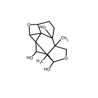 CC12COC3(O)C4OC5CCC1(O)C54CC(O)C32C